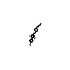 CCCCCC1CCC(CCc2cc(F)c(-c3ccc(C#N)cc3)c(F)c2)CC1